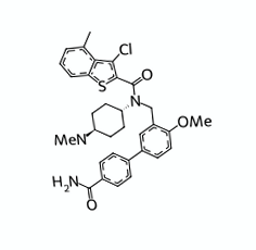 CN[C@H]1CC[C@H](N(Cc2cc(-c3ccc(C(N)=O)cc3)ccc2OC)C(=O)c2sc3cccc(C)c3c2Cl)CC1